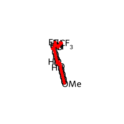 CCN(CC)c1ccc(NC(=O)c2cccc(CCCOCCOCCOCCOCCNS(=O)(=O)c3ccc(CCC(=O)NCCOCCOCCOCCOCCOCCOCCOC)cc3)c2)c(-c2cc(C(=O)NCc3cccc(C(F)(F)F)c3)ccn2)c1